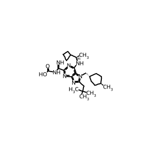 C[C@@H](Nc1nc(C(=N)NC(=O)O)nc2nc(CC(C)(C)C)n(C[C@H]3CC[C@H](C)CC3)c12)C1CCC1